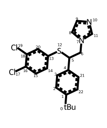 CC(C)(C)c1ccc(C(Cn2ccnc2)Sc2ccc(Cl)c(Cl)c2)cc1